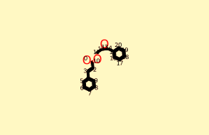 O=C(/C=C/c1ccccc1)OCC1OC1c1ccccc1